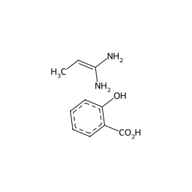 CC=C(N)N.O=C(O)c1ccccc1O